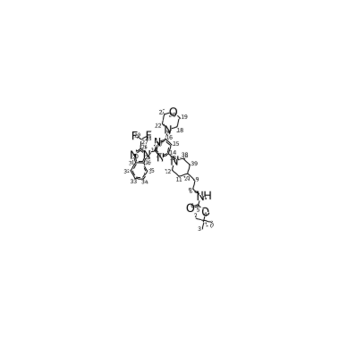 CC(C)(C)OC(=O)NCCC1CCN(c2cc(N3CCOCC3)nc(-n3c(C(F)F)nc4ccccc43)n2)CC1